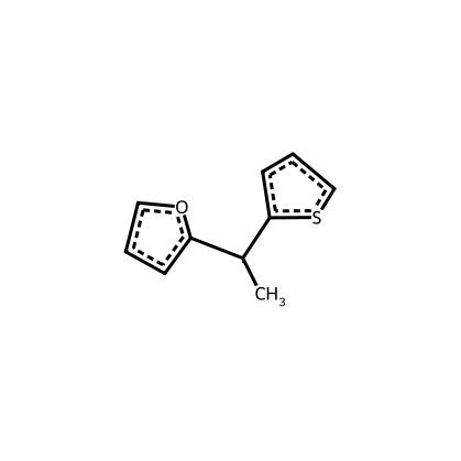 C[C](c1ccco1)c1cccs1